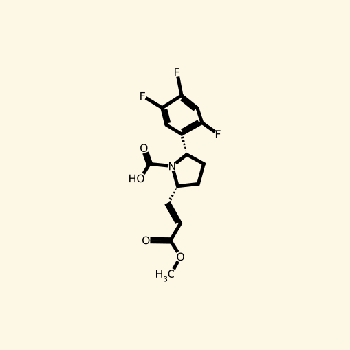 COC(=O)/C=C/[C@H]1CC[C@@H](c2cc(F)c(F)cc2F)N1C(=O)O